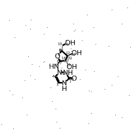 O=C1NC=CN(N[C@H]2O[C@H](CO)[C@@H](O)[C@@H]2O)N1